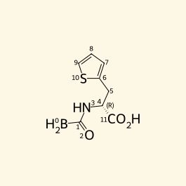 BC(=O)N[C@H](Cc1cccs1)C(=O)O